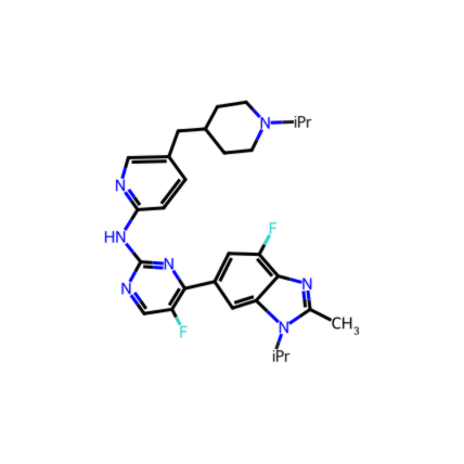 Cc1nc2c(F)cc(-c3nc(Nc4ccc(CC5CCN(C(C)C)CC5)cn4)ncc3F)cc2n1C(C)C